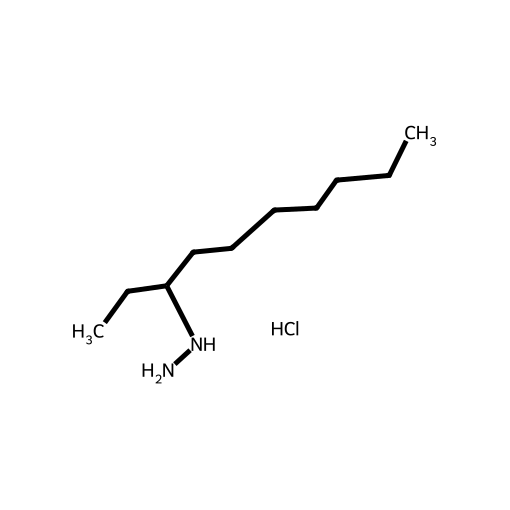 CCCCCCCC(CC)NN.Cl